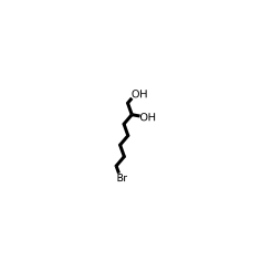 OCC(O)CCCCCBr